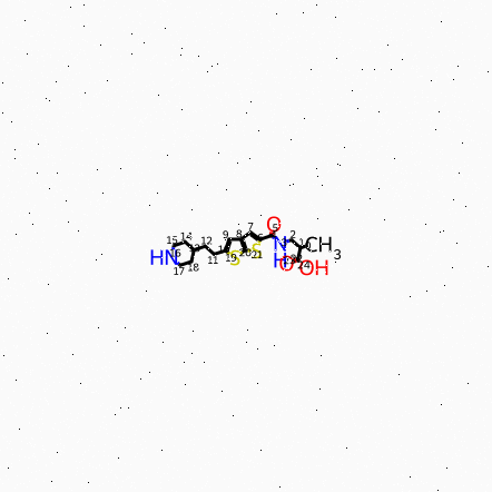 CC(CNC(=O)c1cc2cc(CCC3CCNCC3)sc2s1)C(=O)O